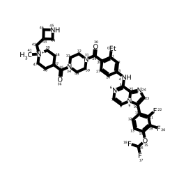 CCc1cc(Nc2nccn3c(-c4ccc(OC(F)F)c(F)c4F)cnc23)ccc1C(=O)N1CCN(C(=O)C2CC[N+](C)(CC3CNC3)CC2)CC1